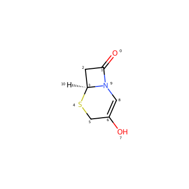 O=C1C[C@@H]2SCC(O)=CN12